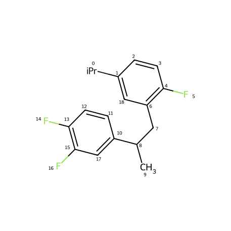 CC(C)c1ccc(F)c(CC(C)c2ccc(F)c(F)c2)c1